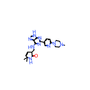 CN1CCN(c2ccc(-c3nc(NCC4C=CC(C)(C)NC4=O)c4nc[nH]c4n3)cn2)CC1